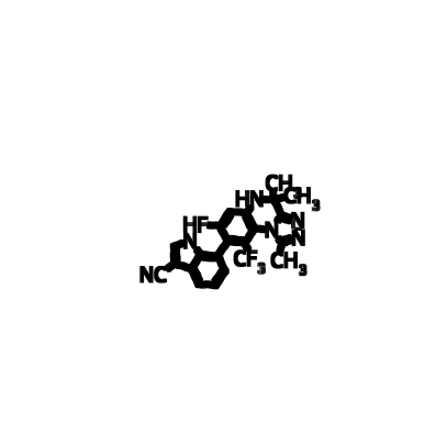 Cc1nnc2n1-c1c(cc(F)c(-c3cccc4c(C#N)c[nH]c34)c1C(F)(F)F)NC2(C)C